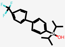 CC(C)[Si](O)(c1ccc(-c2ccc(C(F)(F)F)cc2)cc1)C(C)C